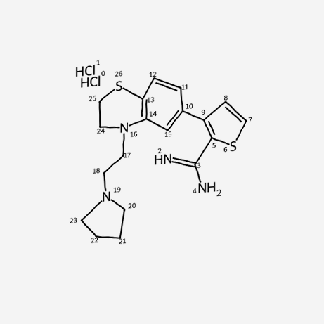 Cl.Cl.N=C(N)c1sccc1-c1ccc2c(c1)N(CCN1CCCC1)CCS2